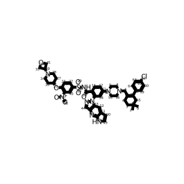 CC1(C)CCC(CN2CCN(c3ccc(C(=O)NS(=O)(=O)c4ccc(OC5CCN(C6COC6)CC5)c([N+](=O)[O-])c4)c(-n4ncc5nc6[nH]ccc6cc54)c3)CC2)=C(c2ccc(Cl)cc2)C1